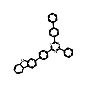 C1=CC2Oc3cc(-c4ccc(-c5nc(-c6ccccc6)nc(-c6ccc(-c7ccccc7)cc6)n5)cc4)ccc3C2C=C1